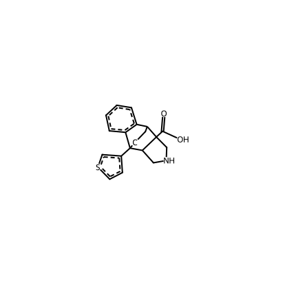 O=C(O)C12CNCC1C1(c3ccsc3)CCC2c2ccccc21